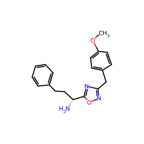 COc1ccc(Cc2noc([C@H](N)CCc3ccccc3)n2)cc1